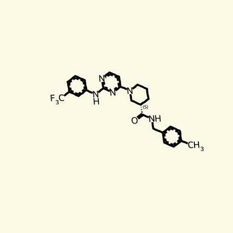 Cc1ccc(CNC(=O)[C@H]2CCCN(c3ccnc(Nc4cccc(C(F)(F)F)c4)n3)C2)cc1